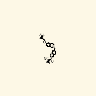 N#CC1(C(=O)NCc2ccc(CN3CCc4cc(OCC5CC5(F)F)ccc4C3)cc2)CC1